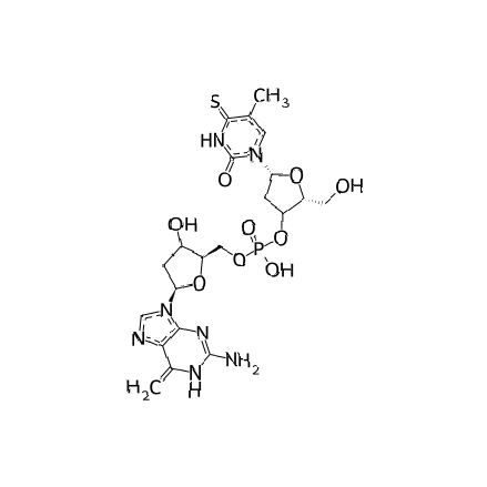 C=C1NC(N)=Nc2c1ncn2[C@H]1CC(O)[C@@H](COP(=O)(O)OC2C[C@H](n3cc(C)c(=S)[nH]c3=O)O[C@@H]2CO)O1